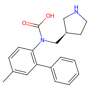 Cc1ccc(N(C[C@@H]2CCNC2)C(=O)O)c(-c2ccccc2)c1